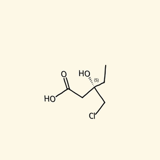 CC[C@@](O)(CCl)CC(=O)O